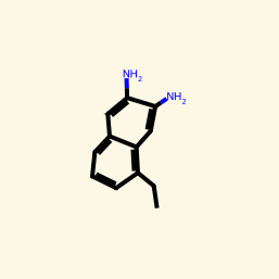 CCc1cccc2[c]c(N)c(N)cc12